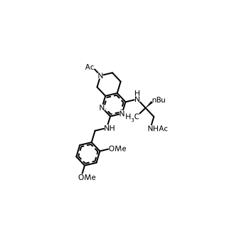 CCCC[C@](C)(CNC(C)=O)Nc1nc(NCc2ccc(OC)cc2OC)nc2c1CCN(C(C)=O)C2